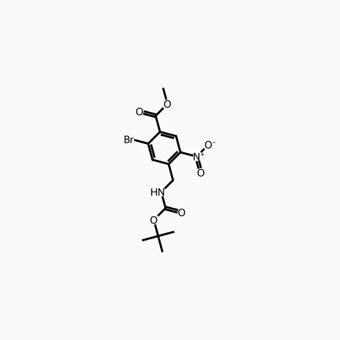 COC(=O)c1cc([N+](=O)[O-])c(CNC(=O)OC(C)(C)C)cc1Br